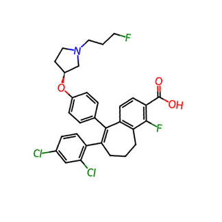 O=C(O)c1ccc2c(c1F)CCCC(c1ccc(Cl)cc1Cl)=C2c1ccc(O[C@H]2CCN(CCCF)C2)cc1